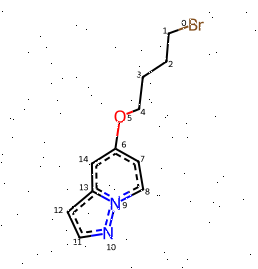 BrCCCCOc1ccn2nccc2c1